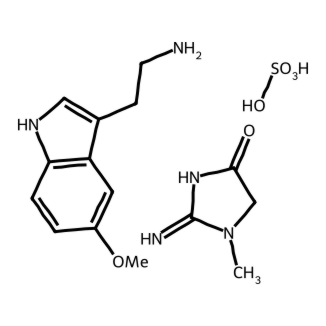 CN1CC(=O)NC1=N.COc1ccc2[nH]cc(CCN)c2c1.O=S(=O)(O)O